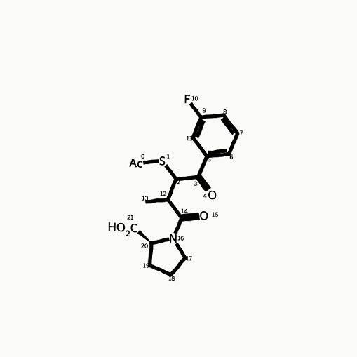 CC(=O)SC(C(=O)c1cccc(F)c1)C(C)C(=O)N1CCC[C@H]1C(=O)O